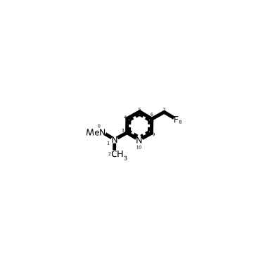 CNN(C)c1ccc(CF)cn1